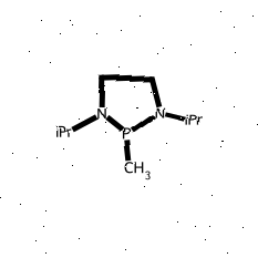 CC(C)N1CCN(C(C)C)P1C